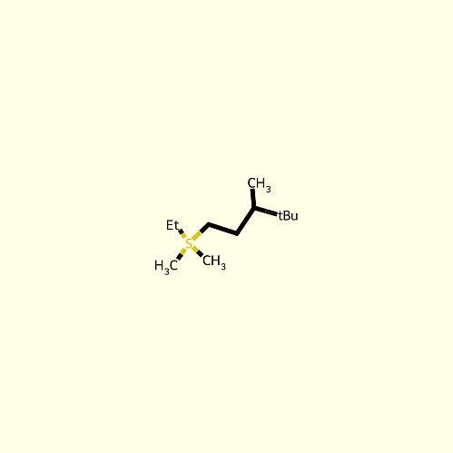 CCS(C)(C)CCC(C)C(C)(C)C